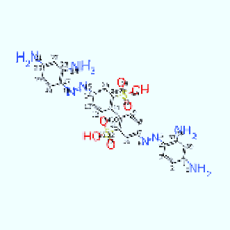 Nc1ccc(N=Nc2ccc(-c3ccc(N=Nc4ccc(N)cc4N)cc3S(=O)(=O)O)c(S(=O)(=O)O)c2)c(N)c1